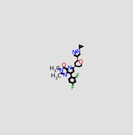 Cc1nc2c(-c3ccc(F)cc3F)cc([C@@H]3CCO[C@H](c4cnn(C5CC5)c4)C3)nc2c(=O)n1C